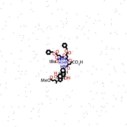 COC(=O)CCC(C)[C@H]1CC[C@H]2[C@@H]3[C@H](O)C[C@@H]4C[C@@H](NC(=O)C(CCC(=O)O)NC(=O)C(CCC(=O)OCc5ccccc5)NC(=O)C(CCC(=O)OCc5ccccc5)NC(=O)OC(C)(C)C)CC[C@]4(C)[C@H]3C[C@H](O)[C@]12C